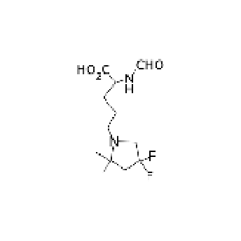 CC1(C)CC(F)(F)CN1CCCC(NC=O)C(=O)O